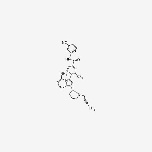 CC#CCN1CCCC(c2nc(-c3ccc(C(=O)Nc4cc(C#N)ccn4)cc3C(F)(F)F)n3c(N)nccc23)C1